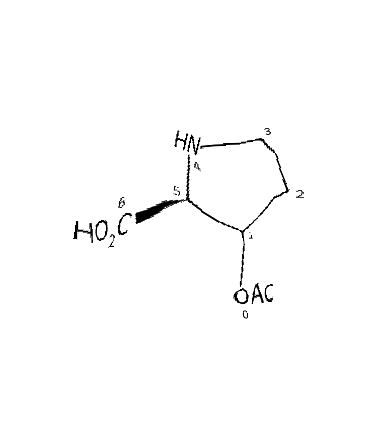 CC(=O)OC1CCN[C@@H]1C(=O)O